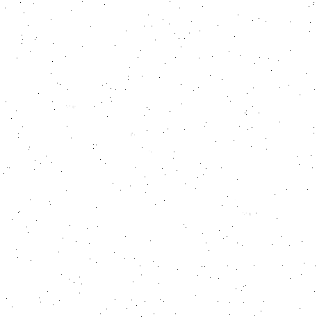 COC(=O)c1ccc(OCCc2cccc(NCc3ccc(OC)cc3)n2)cc1